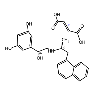 C[C@@H](Cc1cccc2ccccc12)NC[C@H](O)c1cc(O)cc(O)c1.O=C(O)/C=C/C(=O)O